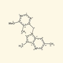 COc1ncnc(Cn2cc(C)c3ncc(C)cc32)c1C